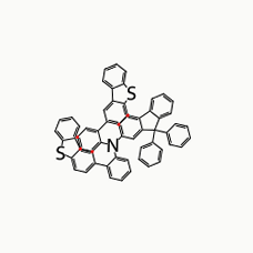 c1ccc(C2(c3ccccc3)c3ccccc3-c3ccc(N(c4ccccc4-c4ccc5sc6ccccc6c5c4)c4ccccc4-c4ccc5sc6ccccc6c5c4)cc32)cc1